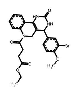 CCOC(=O)CCC(=O)N1CC2=C(NC(=O)NC2c2ccc(OC)c(Br)c2)c2ccccc21